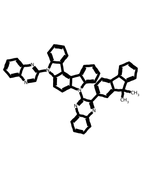 CC1(C)c2ccccc2-c2ccc(-c3nc4ccccc4nc3-n3c4ccccc4c4c5c6ccccc6n(-c6cnc7ccccc7n6)c5ccc43)cc21